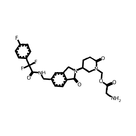 NCC(=O)OCN1CC(N2Cc3cc(CNC(=O)C(F)(F)c4ccc(F)cc4)ccc3C2=O)CCC1=O